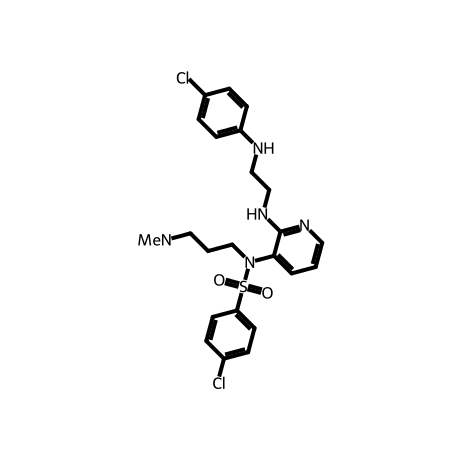 CNCCCN(c1cccnc1NCCNc1ccc(Cl)cc1)S(=O)(=O)c1ccc(Cl)cc1